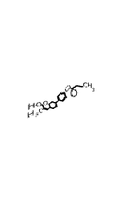 CC=CC(=O)Oc1ccc(C2CCC(C=C(C)C(=O)O)CC2)cc1